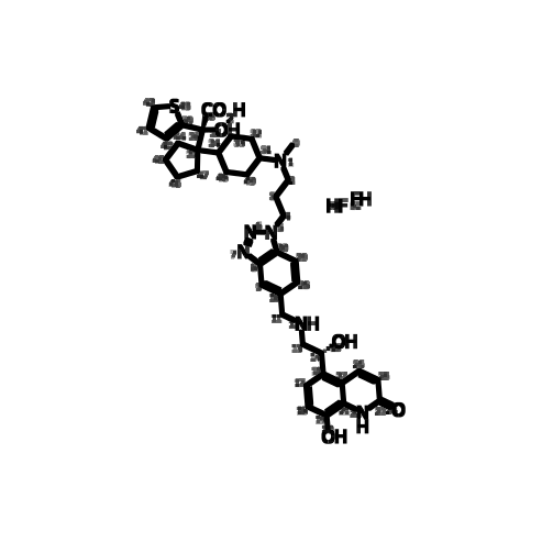 CN(CCCn1nnc2cc(CNC[C@H](O)c3ccc(O)c4[nH]c(=O)ccc34)ccc21)C1CCC(C2([C@](O)(C(=O)O)c3cccs3)CCCC2)CC1.F.F